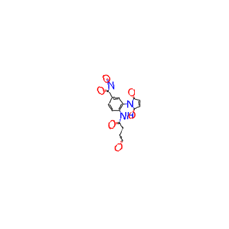 O=CCCC(=O)Nc1ccc(C(=O)N=O)cc1N1C(=O)C=CC1=O